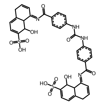 O=C(Nc1ccc(C(=O)N=C2C=CCC3=CC=C(S(=O)(=O)O)C(O)C32)cc1)Nc1ccc(C(=O)N=C2C=CCC3=CC=C(S(=O)(=O)O)C(O)C32)cc1